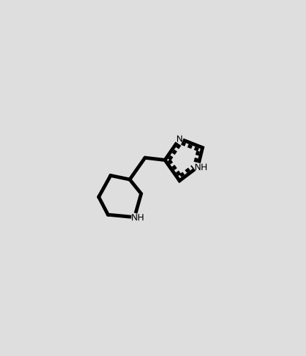 c1nc(CC2CCCNC2)c[nH]1